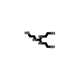 OCCNC(NCCO)NCCO